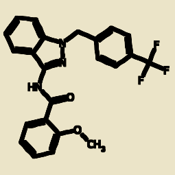 COc1ccccc1C(=O)Nc1nn(Cc2ccc(C(F)(F)F)cc2)c2ccccc12